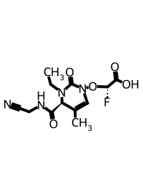 CCN1C(=O)N(O[C@@H](F)C(=O)O)C=C(C)[C@H]1C(=O)NCC#N